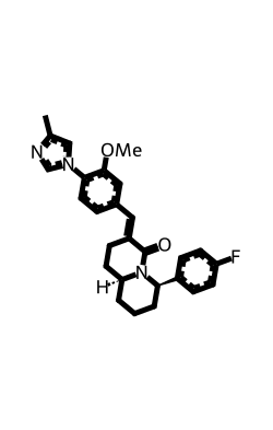 COc1cc(/C=C2\CC[C@@H]3CCC[C@H](c4ccc(F)cc4)N3C2=O)ccc1-n1cnc(C)c1